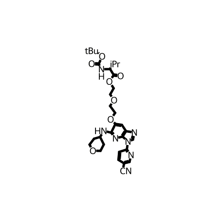 CC(C)C(NC(=O)OC(C)(C)C)C(=O)OCCOCCOc1cc2ncn(-c3ccc(C#N)cn3)c2nc1NC1CCOCC1